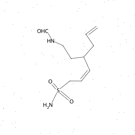 C=CCC(/C=C\CS(N)(=O)=O)CCNC=O